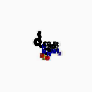 C=CCc1cccc(CN(C(=O)OCC)c2nc(S(C)(=O)=O)nc(N)c2[N+](=O)[O-])c1